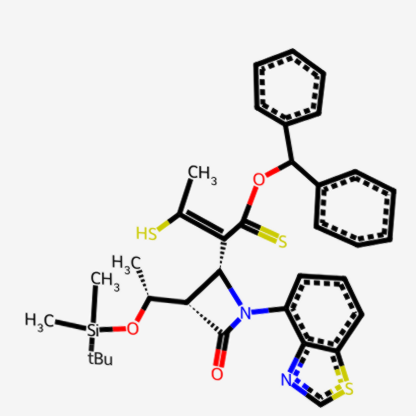 CC(S)=C(C(=S)OC(c1ccccc1)c1ccccc1)[C@H]1[C@@H]([C@@H](C)O[Si](C)(C)C(C)(C)C)C(=O)N1c1cccc2scnc12